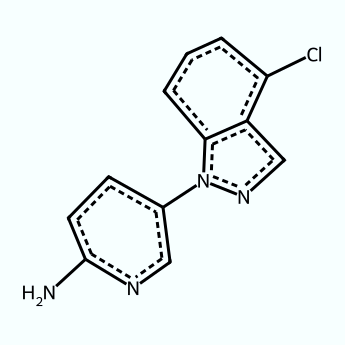 Nc1ccc(-n2ncc3c(Cl)cccc32)cn1